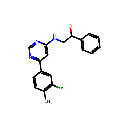 Cc1ccc(-c2cc(NCC(O)c3ccccc3)ncn2)cc1F